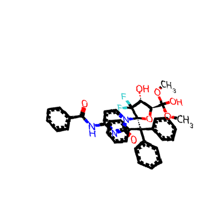 COC(O)(OC)[C@H]1O[C@](n2ccc(NC(=O)c3ccccc3)nc2=O)(C(c2ccccc2)(c2ccccc2)c2ccccc2)C(F)(F)[C@@H]1O